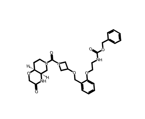 O=C1CO[C@H]2CCN(C(=O)N3CC(OCc4ccccc4OCCNC(=O)OCc4ccccc4)C3)C[C@H]2N1